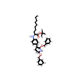 CCCCCCCCC(Nc1ccc(-c2ccc(OCc3ccccc3)nc2OCc2ccccc2)cc1)C(=O)OC(C)(C)C